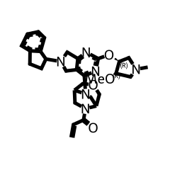 C=CC(=O)N1CC2COCC1CN2c1nc(O[C@@H]2CN(C)C[C@H]2OC)nc2c1CN(C1CCc3ccccc31)C2